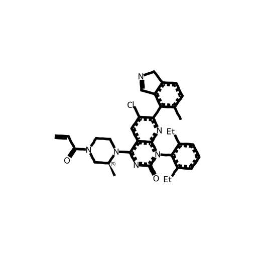 C=CC(=O)N1CCN(c2nc(=O)n(-c3c(CC)cccc3CC)c3nc(-c4c(C)ccc5c4C=NC5)c(Cl)cc23)[C@@H](C)C1